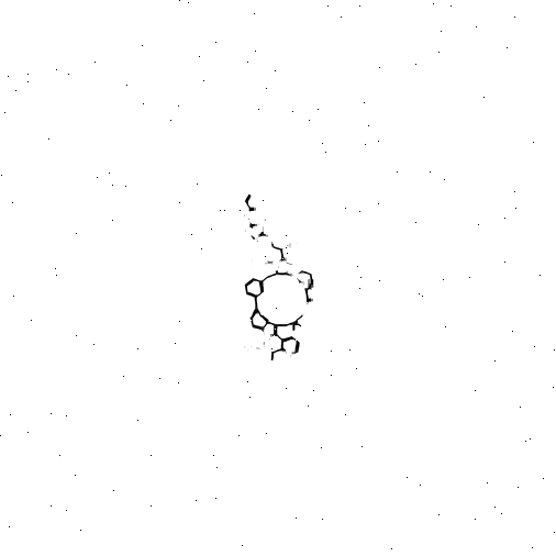 C=CC(=O)Nc1nnc(OC[C@H](C(=O)N([SiH3])C2Cc3cccc(c3)-c3ccc4c(c3)c(c(-c3cccnc3[C@H](C)OC)n4CC)CC(C)(C)COC(=O)[C@@H]3CCCN(N3)C2=O)C(C)C)n1C